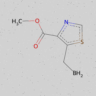 BCc1scnc1C(=O)OC